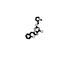 CN1CCCC1COc1nc(Cl)c2ncc(Cc3ccccc3Cl)n2n1